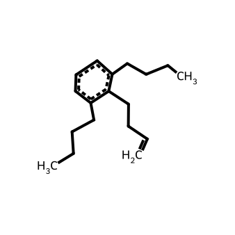 C=CCCc1c(CCCC)cccc1CCCC